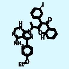 CCOc1ccc(-c2nn(C(C)C3=C(C4=CC=C[C@H](I)C4)C(=O)C4=CC=CC[C@@H]4O3)c3c2C(N)=NCN3)cc1